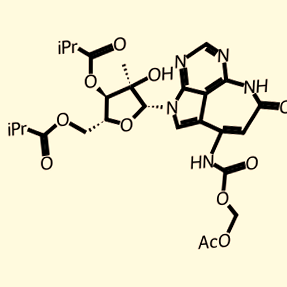 CC(=O)OCOC(=O)NC1=CC(=O)Nc2ncnc3c2c1cn3[C@@H]1O[C@H](COC(=O)C(C)C)[C@@H](OC(=O)C(C)C)[C@@]1(C)O